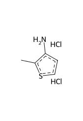 Cc1sccc1N.Cl.Cl